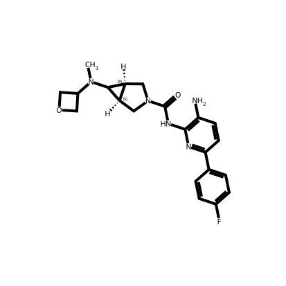 CN(C1COC1)C1[C@H]2CN(C(=O)Nc3nc(-c4ccc(F)cc4)ccc3N)C[C@@H]12